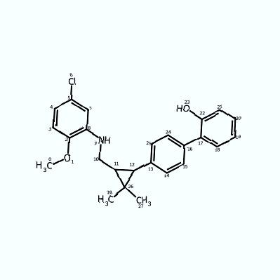 COc1ccc(Cl)cc1NCC1C(c2ccc(-c3ccccc3O)cc2)C1(C)C